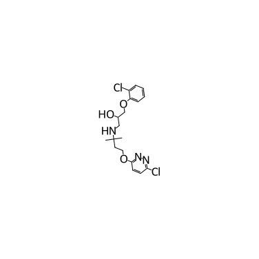 CC(C)(CCOc1ccc(Cl)nn1)NCC(O)COc1ccccc1Cl